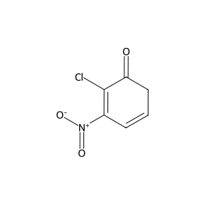 O=C1CC=CC([N+](=O)[O-])=C1Cl